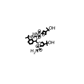 CC(C)(O)c1coc(S(N)(=O)=O)c1.CC(C)c1cccc(C(C)C)c1NC(=O)NS(=O)(=O)c1cc(C(C)(C)O)co1